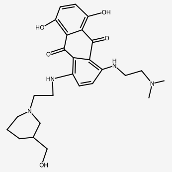 CN(C)CCNc1ccc(NCCN2CCCC(CO)C2)c2c1C(=O)c1c(O)ccc(O)c1C2=O